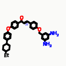 CCC1CCC(c2ccc(Oc3ccc(C(=O)/C=C/c4ccc(OCc5cc(N)cc(N)c5)cc4)cc3)cc2)CC1